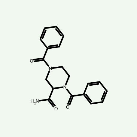 NC(=O)C1CN(C(=O)c2ccccc2)CCN1C(=O)c1ccccc1